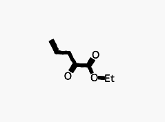 C=CCC(=O)C(=O)OCC